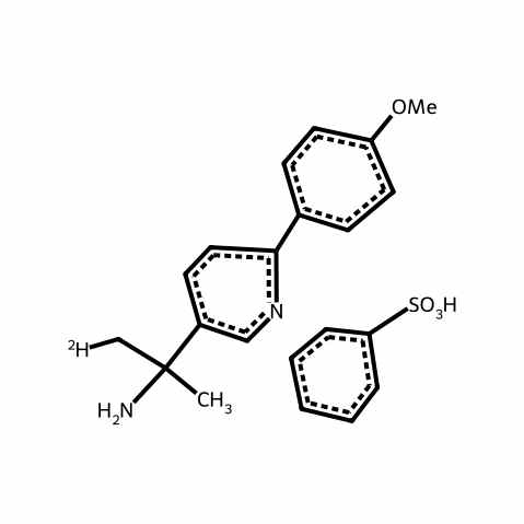 O=S(=O)(O)c1ccccc1.[2H]CC(C)(N)c1ccc(-c2ccc(OC)cc2)nc1